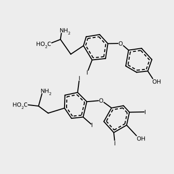 NC(Cc1cc(I)c(Oc2cc(I)c(O)c(I)c2)c(I)c1)C(=O)O.NC(Cc1ccc(Oc2ccc(O)cc2)cc1I)C(=O)O